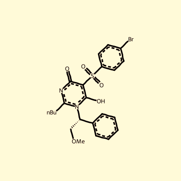 CCCCc1nc(=O)c(S(=O)(=O)c2ccc(Br)cc2)c(O)n1[C@@H](COC)c1ccccc1